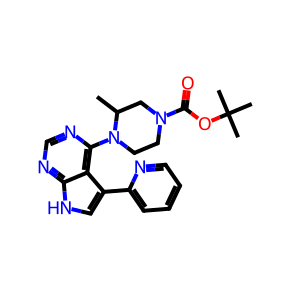 CC1CN(C(=O)OC(C)(C)C)CCN1c1ncnc2[nH]cc(-c3ccccn3)c12